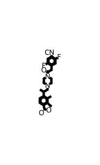 Cc1c(C(C)CN2CCN(C(=O)Cc3cc(F)c(C#N)cc3F)CC2)ccc2c1COC2=O